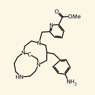 COC(=O)c1cccc(CN2CCN3CCCNCCN(CC3)CC(Cc3ccc(N)cc3)C2)n1